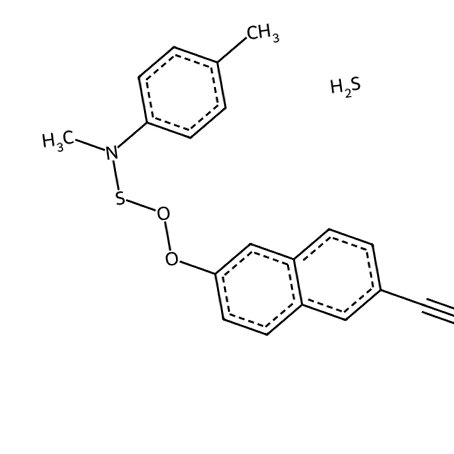 Cc1ccc(N(C)SOOc2ccc3cc(C#N)ccc3c2)cc1.S